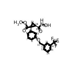 COC(=O)[C@]1(c2cccc(OCc3cccc(C(F)(F)F)c3)c2)C[C@H]1C(=O)NO